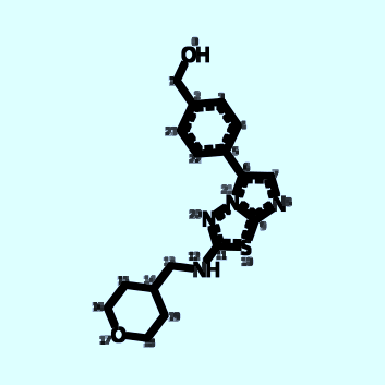 OCc1ccc(-c2cnc3sc(NCC4CCOCC4)nn23)cc1